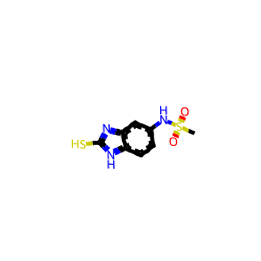 CS(=O)(=O)Nc1ccc2[nH]c(S)nc2c1